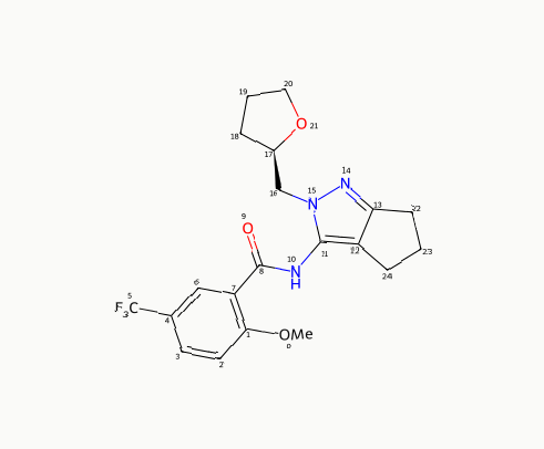 COc1ccc(C(F)(F)F)cc1C(=O)Nc1c2c(nn1C[C@H]1CCCO1)CCC2